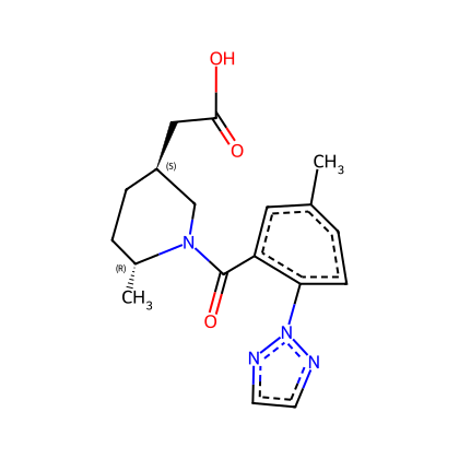 Cc1ccc(-n2nccn2)c(C(=O)N2C[C@H](CC(=O)O)CC[C@H]2C)c1